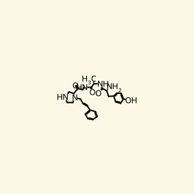 C[C@@H](NC(=O)[C@@H](N)Cc1ccc(O)cc1)C(=O)NCC(=O)C1CNCCN1CC=Cc1ccccc1